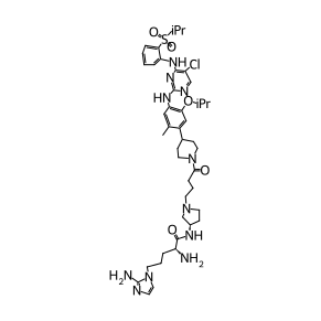 Cc1cc(Nc2ncc(Cl)c(Nc3ccccc3S(=O)(=O)C(C)C)n2)c(OC(C)C)cc1C1CCN(C(=O)CCCN2CC[C@@H](NC(=O)[C@@H](N)CCCn3ccnc3N)C2)CC1